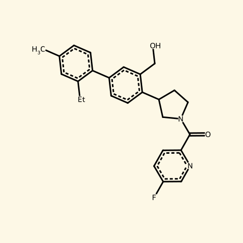 CCc1cc(C)ccc1-c1ccc(C2CCN(C(=O)c3ccc(F)cn3)C2)c(CO)c1